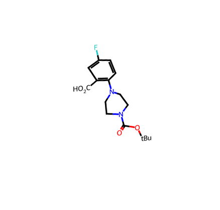 CC(C)(C)OC(=O)N1CCN(c2ccc(F)cc2C(=O)O)CC1